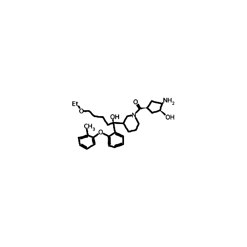 CCOCCCC[C@@](O)(c1ccccc1Oc1ccccc1C)C1CCCN(C(=O)[C@H]2C[C@@H](N)[C@@H](O)C2)C1